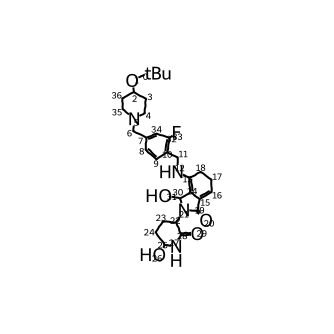 CC(C)(C)OC1CCN(Cc2ccc(CNC3=C4C(=CCC3)C(=O)N(C3CCC(O)NC3=O)C4O)c(F)c2)CC1